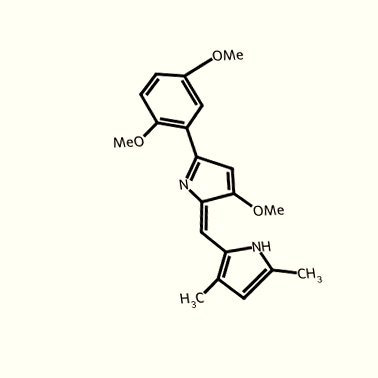 COC1=CC(c2cc(OC)ccc2OC)=N/C1=C/c1[nH]c(C)cc1C